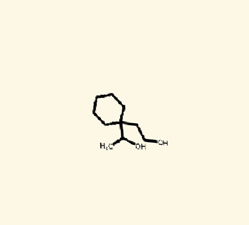 CC(O)C1(CCO)CCCCC1